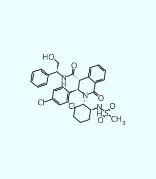 CS(=O)(=O)N[C@H]1CCCC[C@@H]1N1C(=O)c2ccccc2[C@@H](C(=O)N[C@H](CO)c2ccccc2)[C@@H]1c1ccc(Cl)cc1Cl